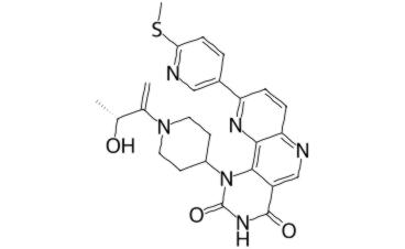 C=C([C@@H](C)O)N1CCC(n2c(=O)[nH]c(=O)c3cnc4ccc(-c5ccc(SC)nc5)nc4c32)CC1